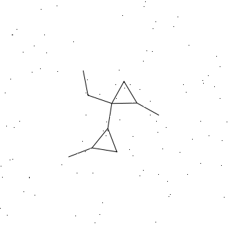 CCC1([C]2CC2C)CC1C